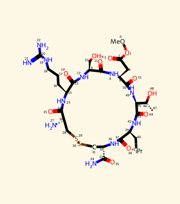 COOC(=O)C[C@@H]1NC(=O)[C@H](CO)NC(=O)[C@H](CCCNC(=N)N)NC(=O)[C@@H](N)CSSC[C@@H](C(N)=O)NC(=O)[C@H](CC(C)C)NC(=O)[C@H]([C@@H](C)O)NC1=O